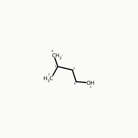 [CH2]C(C)CCO